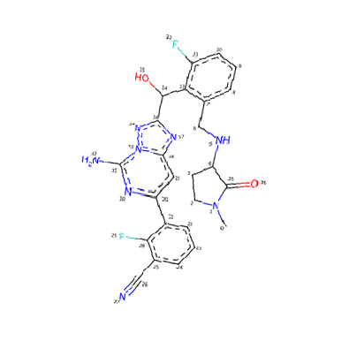 CN1CCC(NCc2cccc(F)c2C(O)c2nc3cc(-c4cccc(C#N)c4F)nc(N)n3n2)C1=O